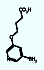 Bc1cncc(OCCCC(=O)O)c1